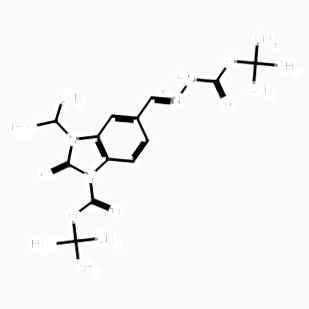 CC(C)n1c(=O)n(C(=O)OC(C)(C)C)c2ccc(/C=N/NC(=O)OC(C)(C)C)cc21